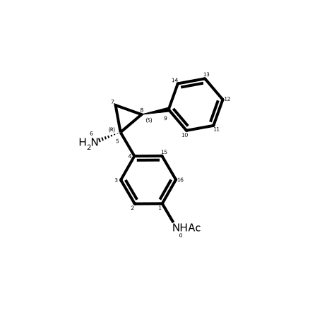 CC(=O)Nc1ccc([C@@]2(N)C[C@H]2c2ccccc2)cc1